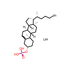 CC(C)CCC[C@@H](C)[C@H]1CC[C@H]2[C@@H]3CC=C4C[C@@H](OP(=O)(O)O)CC[C@]4(C)[C@H]3CC[C@]12C.[LiH]